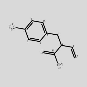 C=CC(Cc1ccc(C(F)(F)F)cc1)C(=C)CCC